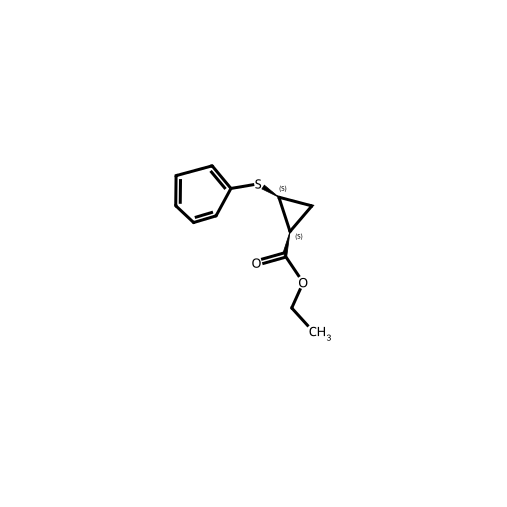 CCOC(=O)[C@@H]1C[C@@H]1Sc1ccccc1